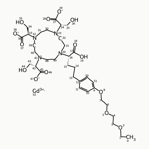 CCOCCOCCOc1ccc(CCC[C@@H](C(=O)O)N2CCN([C@@H](CO)C(=O)[O-])CCN([C@H](CO)C(=O)[O-])CCN([C@@H](CO)C(=O)[O-])CC2)cc1.[Gd+3]